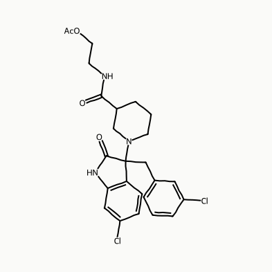 CC(=O)OCCNC(=O)C1CCCN(C2(Cc3cccc(Cl)c3)C(=O)Nc3cc(Cl)ccc32)C1